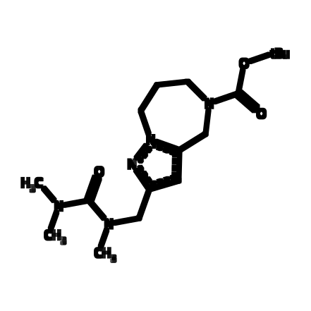 CN(C)C(=O)N(C)Cc1cc2n(n1)CCCN(C(=O)OC(C)(C)C)C2